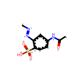 CN=Nc1cc(NC(C)=O)ccc1S(=O)(=O)O